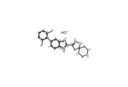 Cl.Fc1cccc(F)c1-c1ccc2[nH]c(C3=NOC4(CCOCC4)C3)nc2c1